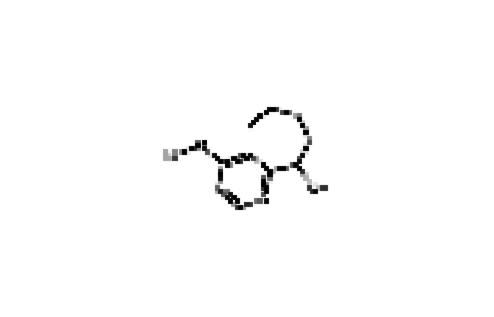 CCOc1ccnc2c1CCCCC2O